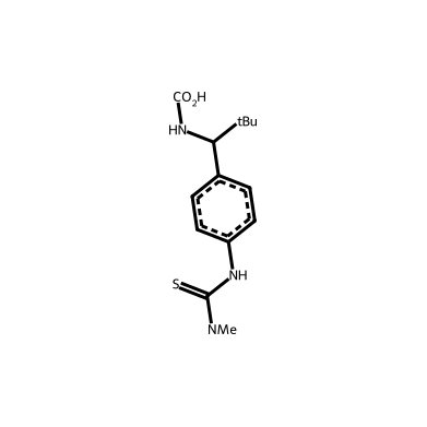 CNC(=S)Nc1ccc(C(NC(=O)O)C(C)(C)C)cc1